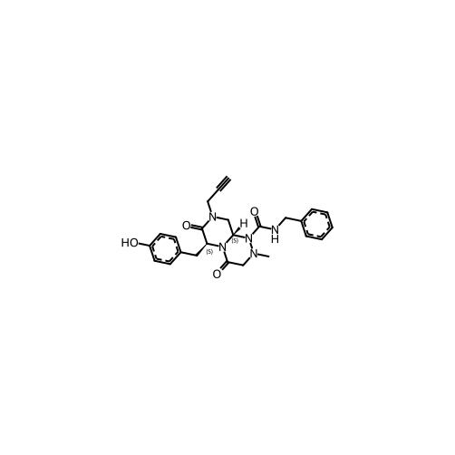 C#CCN1C[C@H]2N(C(=O)CN(C)N2C(=O)NCc2ccccc2)[C@@H](Cc2ccc(O)cc2)C1=O